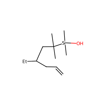 C=CCC(CC)CC(C)(C)[Si](C)(C)O